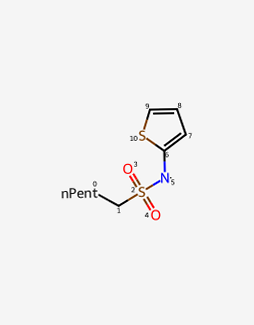 CCCCCCS(=O)(=O)[N]c1cccs1